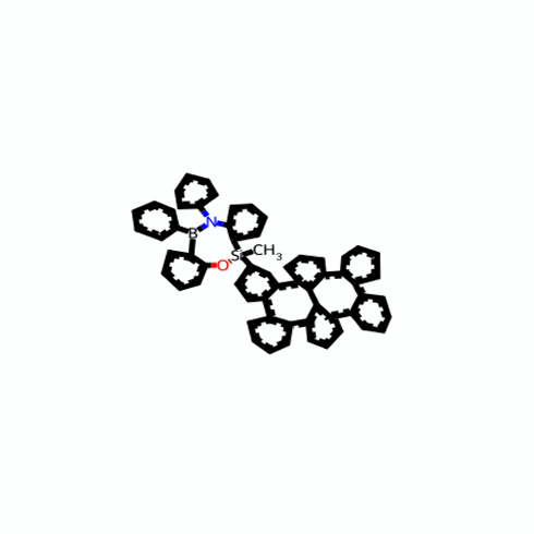 C[Si]1(c2ccc3c(c2)c2cccc4c2-c2c(cccc2c2ccccc23)c2ccccc2c2ccccc42)Oc2ccccc2B(c2ccccc2)N(c2ccccc2)c2ccccc21